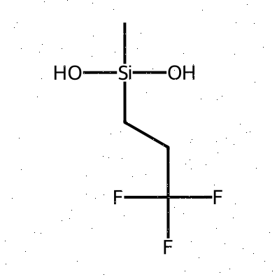 C[Si](O)(O)CCC(F)(F)F